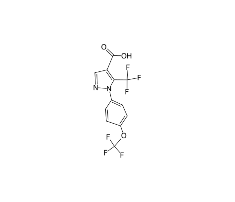 O=C(O)c1cnn(-c2ccc(OC(F)(F)F)cc2)c1C(F)(F)F